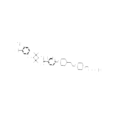 CC1(C)[C@H](NC(=O)c2ccc(N3CCC(CCN4CCN(CC(=O)O)CC4)CC3)nc2)C(C)(C)[C@H]1Oc1ccc(C#N)c(Cl)c1